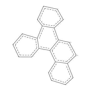 [c]1[c]c2c3ccccc3c3ccccc3c2c2ccccc12